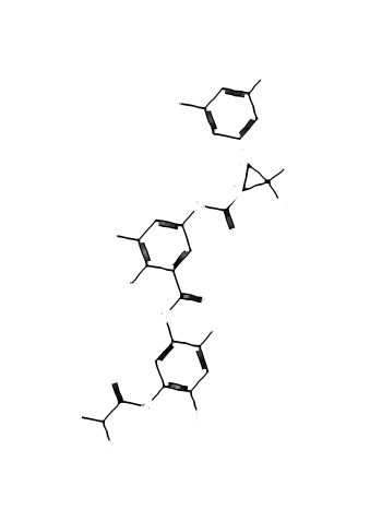 O=C(Nc1cc(NC(=O)C(F)F)c(F)cc1F)c1cc(NC(=O)[C@H]2[C@H](c3cc(Cl)cc(Cl)c3)C2(Cl)Cl)cc(F)c1Cl